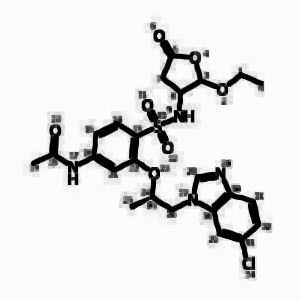 CCOC1OC(=O)CC1NS(=O)(=O)c1ccc(NC(C)=O)cc1O[C@H](C)Cn1cnc2ccc(Cl)cc21